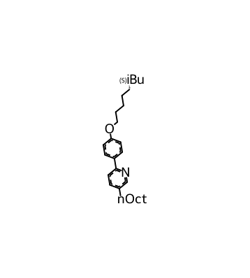 CCCCCCCCc1ccc(-c2ccc(OCCCCC[C@@H](C)CC)cc2)nc1